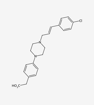 O=C(O)Cc1ccc(N2CCN(CC=Cc3ccc(Cl)cc3)CC2)cc1